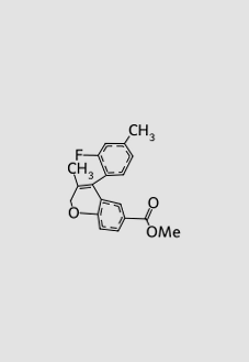 COC(=O)c1ccc2c(c1)C(c1ccc(C)cc1F)=C(C)CO2